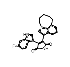 O=C1NC(=O)C(c2cn3c4c(cccc24)CCCCC3)=C1c1c[nH]c2cc(F)ccc12